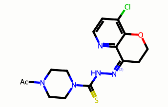 CC(=O)N1CCN(C(=S)N/N=C2/CCOc3c(Cl)ccnc32)CC1